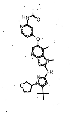 CC(=O)Nc1cc(Oc2cnc3nc(Nc4cc(C(C)(C)C)n(C5CCOC5)n4)n(C)c3c2C)ccn1